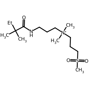 CCC(C)(C)C(=O)NCCC[N+](C)(C)CCCS(C)(=O)=O